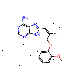 COc1ccccc1OC/C(C)=C\c1nc2c(N)ncnc2[nH]1